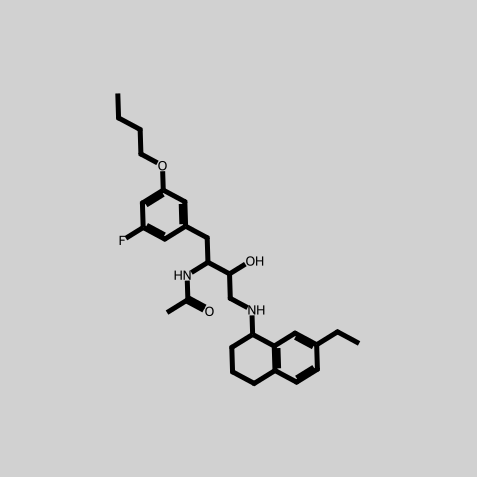 CCCCOc1cc(F)cc(CC(NC(C)=O)C(O)CNC2CCCc3ccc(CC)cc32)c1